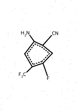 N#Cc1cc(F)c(C(F)(F)F)cc1N